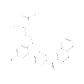 CN(CCC(Oc1cccc(C(=O)c2ccc3ccccc3c2)c1)c1ccc(F)cc1)CC(=O)O